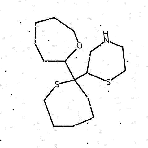 C1CCOC(C2(C3CNCCS3)CCCCCS2)CC1